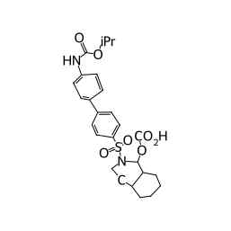 CC(C)OC(=O)Nc1ccc(-c2ccc(S(=O)(=O)N3CCC4CCCCC4C3OC(=O)O)cc2)cc1